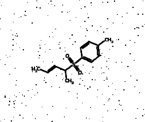 CC=CC(C)S(=O)(=O)c1ccc(C)cc1